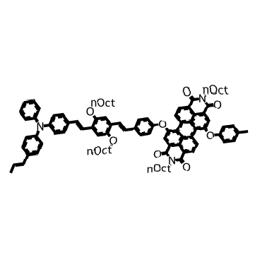 C/C=C/c1ccc(N(c2ccccc2)c2ccc(/C=C/c3cc(OCCCCCCCC)c(/C=C/c4ccc(Oc5cc6c7c(ccc8c9c(Oc%10ccc(C)cc%10)cc%10c%11c(ccc(c5c78)c%119)C(=O)N(CCCCCCCC)C%10=O)C(=O)N(CCCCCCCC)C6=O)cc4)cc3OCCCCCCCC)cc2)cc1